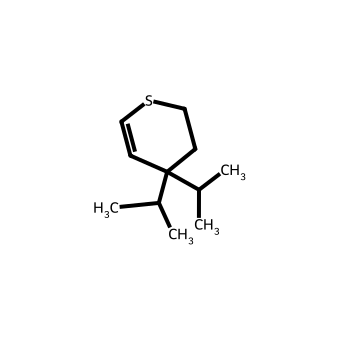 CC(C)C1(C(C)C)C=CSCC1